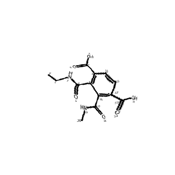 CCNC(=O)c1c(C(=O)O)ccc(C(=O)O)c1C(=O)NC